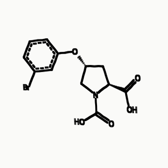 O=C(O)[C@@H]1C[C@@H](Oc2cccc(Br)c2)CN1C(=O)O